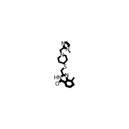 Cc1cccc2c(=O)[nH]c(CSC3CCN(Cc4nccn4C)CC3)nc12